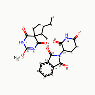 CCCC(C)C1(CC)C(=O)N=C([O-])NC1=O.O=C1CCC(N2C(=O)c3ccccc3C2=O)C(=O)N1.[Na+]